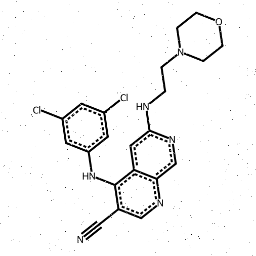 N#Cc1cnc2cnc(NCCN3CCOCC3)cc2c1Nc1cc(Cl)cc(Cl)c1